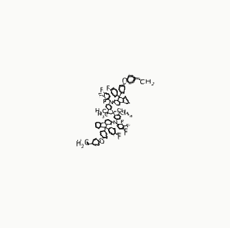 C=Cc1ccc(Oc2ccc(C3(c4ccc(F)cc4)c4ccccc4-c4ccc(N(c5ccc6c(c5)C5(CC6(C)C)CC(C)(C)c6ccc(N(c7ccc8c(c7)C(c7ccc(F)cc7)(c7ccc(Oc9ccc(C=C)cc9)cc7)c7ccccc7-8)c7ccc(F)c(F)c7F)cc65)c5ccc(F)c(F)c5F)cc43)cc2)cc1